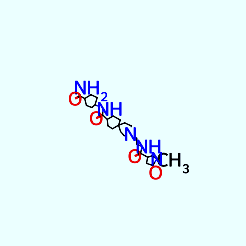 CN1CC(C(=O)NCCN2CCC3(CCC(C(=O)NC4CCC(C(N)=O)CC4)CC3)CC2)CC1=O